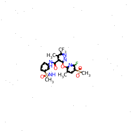 Cc1cc(S(C)(=O)=O)c(F)nc1Oc1nnc(C(F)(F)F)c(C)c1C(=O)Nc1cccc(S(C)(=N)=O)c1